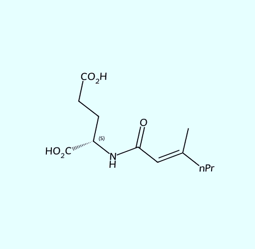 CCCC(C)=CC(=O)N[C@@H](CCC(=O)O)C(=O)O